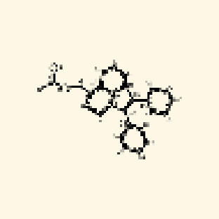 CC(=O)OCc1ccc2c3c(cccc13)C(c1ccccc1)=C2c1ccccc1